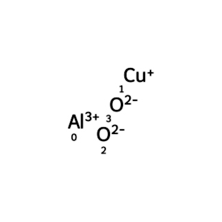 [Al+3].[Cu+].[O-2].[O-2]